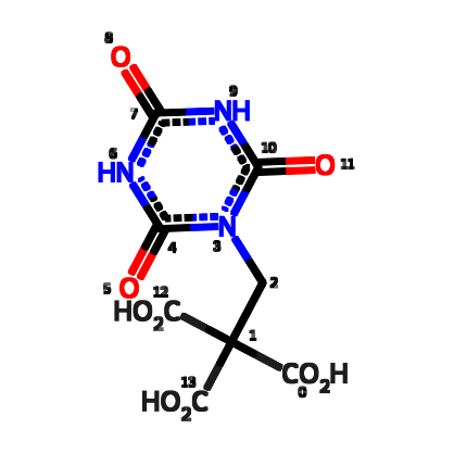 O=C(O)C(Cn1c(=O)[nH]c(=O)[nH]c1=O)(C(=O)O)C(=O)O